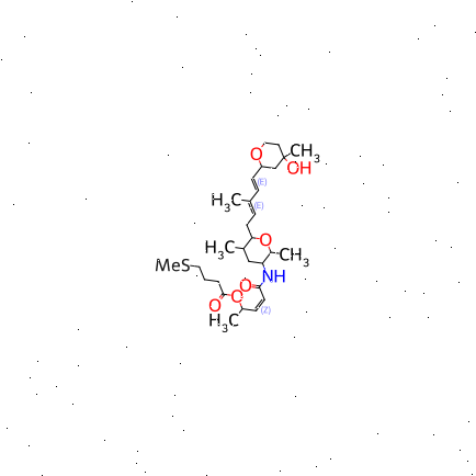 CSCCCC(=O)OC(C)/C=C\C(=O)NC1CC(C)C(C/C=C(C)/C=C/C2CC(C)(O)CCO2)OC1C